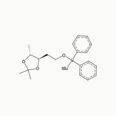 C[C@H]1OC(C)(C)O[C@@H]1CCO[Si](c1ccccc1)(c1ccccc1)C(C)(C)C